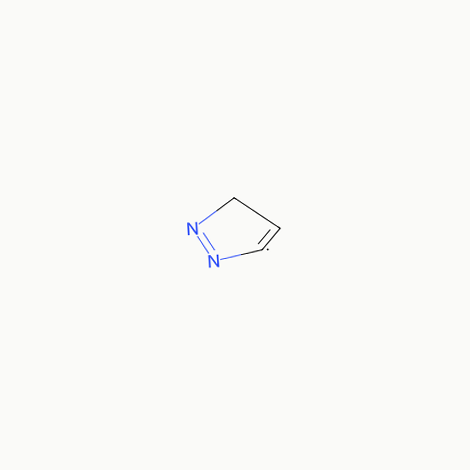 [C]1=CCN=N1